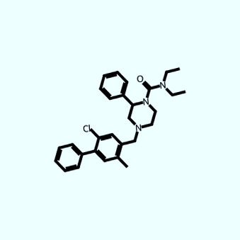 CCN(CC)C(=O)N1CCN(Cc2cc(Cl)c(-c3ccccc3)cc2C)CC1c1ccccc1